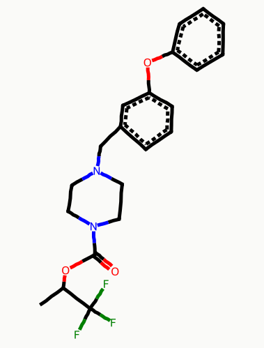 CC(OC(=O)N1CCN(Cc2cccc(Oc3ccccc3)c2)CC1)C(F)(F)F